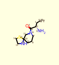 CC(C)C[C@H](N)C(=O)N1CCCC2(C1)NCCS2